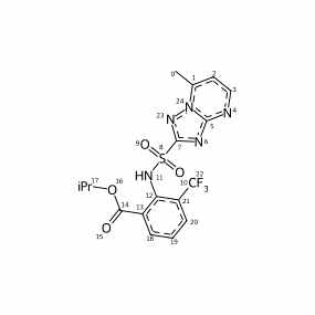 Cc1ccnc2nc(S(=O)(=O)Nc3c(C(=O)OC(C)C)cccc3C(F)(F)F)nn12